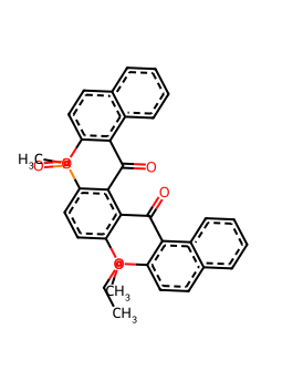 CCOc1ccc(P=O)c(C(=O)c2c(OC)ccc3ccccc23)c1C(=O)c1c(OC)ccc2ccccc12